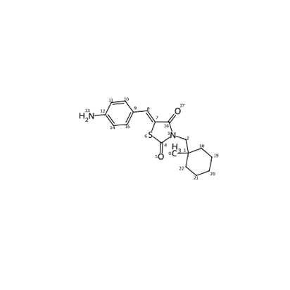 CC1(CN2C(=O)SC(=Cc3ccc(N)cc3)C2=O)CCCCC1